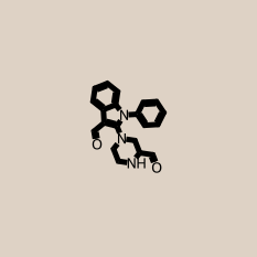 O=Cc1c(N2CCNC(C=O)C2)n(-c2ccccc2)c2ccccc12